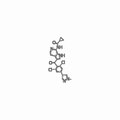 Cn1cc(-c2cc(Cl)c(C(=O)c3c[nH]c4c(NC(=O)C5CC5)nccc34)c(Cl)c2)cn1